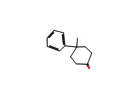 CCOC(=O)C1(c2ccccc2)CCC(=O)CC1